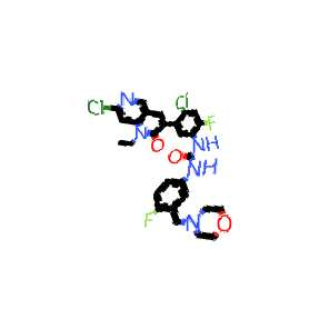 CCn1c(=O)c(-c2cc(NC(=O)Nc3ccc(F)c(CN4CCOCC4)c3)c(F)cc2Cl)cc2cnc(Cl)cc21